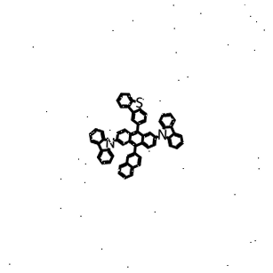 c1ccc2cc(-c3c4ccc(-n5c6ccccc6c6ccccc65)cc4c(-c4ccc5sc6ccccc6c5c4)c4ccc(-n5c6ccccc6c6ccccc65)cc34)ccc2c1